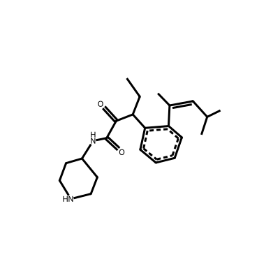 CCC(C(=O)C(=O)NC1CCNCC1)c1ccccc1/C(C)=C\C(C)C